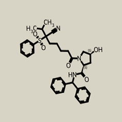 CC(C)C(C#N)(CCCCC(=O)N1C[C@@H](O)C[C@H]1C(=O)NC(c1ccccc1)c1ccccc1)S(=O)(=O)c1ccccc1